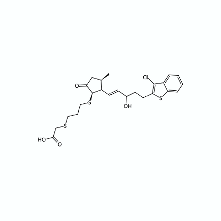 C[C@@H]1CC(=O)[C@H](SCCCSCC(=O)O)C1/C=C/C(O)CCc1sc2ccccc2c1Cl